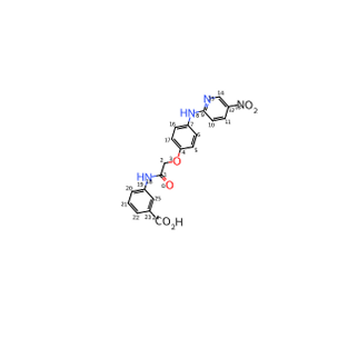 O=C(COc1ccc(Nc2ccc([N+](=O)[O-])cn2)cc1)Nc1cccc(C(=O)O)c1